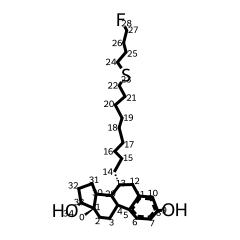 C[C@]12CCC3c4ccc(O)cc4C[C@@H](CCCCCCCCCSCCCCF)C3C1CC[C@@H]2O